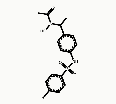 CC(=S)N(O)C(C)c1ccc(NS(=O)(=O)c2ccc(C)cc2)cc1